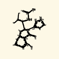 CC(C)C(NC(=O)O)c1nc2cccc(Cl)c2c(=O)n1-c1cc[nH]n1